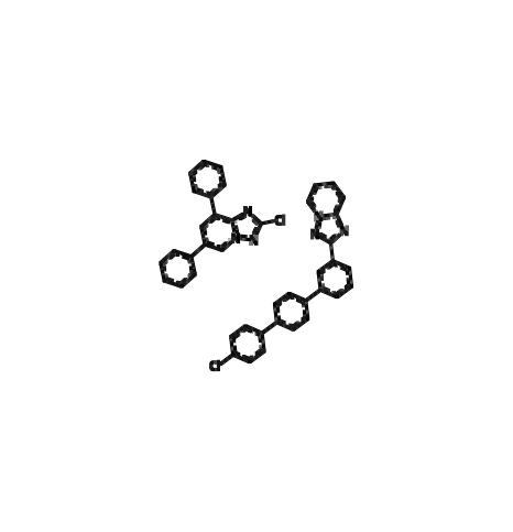 Clc1ccc(-c2ccc(-c3cccc(-c4nc5ccccn5n4)c3)cc2)cc1.Clc1nc2c(-c3ccccc3)cc(-c3ccccc3)cn2n1